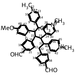 COc1ccc(C(C(C)c2cc[n+](C)cc2)C(c2ccc(C=O)cc2)C(c2cc[n+](C)cc2)C(Cc2ccc(C=O)cc2)c2cc[n+](C)cc2)cc1